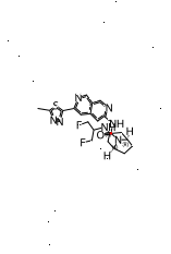 Cc1nnc(-c2cc3cc(NC(=O)N4[C@@H]5CC[C@H]4C[C@@H](NC(CF)CF)C5)ncc3cn2)s1